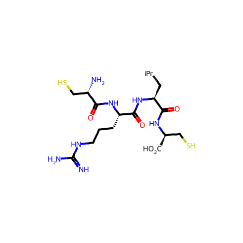 CC(C)C[C@H](NC(=O)[C@H](CCCNC(=N)N)NC(=O)[C@@H](N)CS)C(=O)N[C@@H](CS)C(=O)O